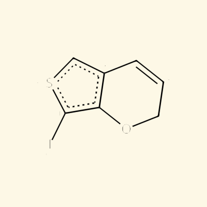 Ic1scc2c1OCC=C2